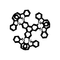 c1ccc2c(c1)c1ccccc1n2-c1cc2c3cc(-n4c5ccccc5c5ccccc54)c(-n4c5ccccc5c5ccccc54)cc3c3cc(-n4c5ccccc5c5ccccc54)c(-n4c5ccccc5c5ccccc54)cc3c2cc1-n1c2ccccc2c2ccccc21